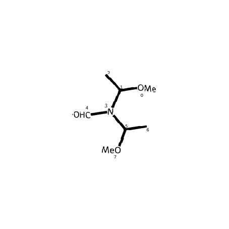 COC(C)N([C]=O)C(C)OC